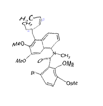 C/C=C\C(=C/C)c1c(OC)c(OC)cc2c(N(C)C(=O)c3c(Br)ccc(OC)c3OC)cccc12